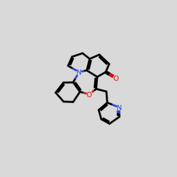 O=C1C=CC2=C3C1=C(Cc1ccccn1)OC1=C(C=CCC1)N3C=CC2